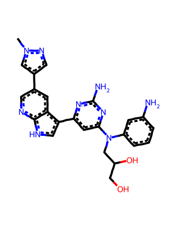 Cn1cc(-c2cnc3[nH]cc(-c4cc(N(CC(O)CO)c5cccc(N)c5)nc(N)n4)c3c2)cn1